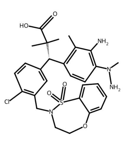 Cc1c([C@H](c2ccc(Cl)c(CN3CCOc4ccccc4S3(=O)=O)c2)C(C)(C)C(=O)O)ccc(N(C)N)c1N